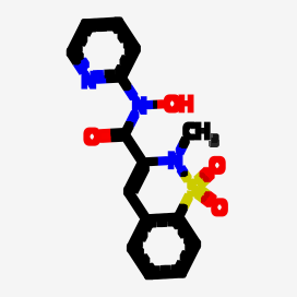 CN1C(C(=O)N(O)c2ccccn2)=Cc2ccccc2S1(=O)=O